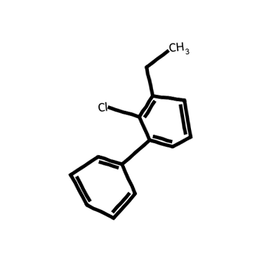 CCc1cccc(-c2ccccc2)c1Cl